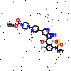 CCCN(c1ccc(F)c(C(=O)c2c[nH]c3ncc(-c4ccc(N5CCN(C(=O)OC(C)(C)C)CC5)nc4)cc23)c1F)[SH](=O)=O